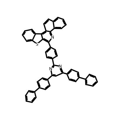 c1ccc(-c2ccc(-c3cc(-c4ccc(-c5ccccc5)cc4)nc(-c4ccc(-c5nc6c7ccccc7ccc6c6c5sc5ccccc56)cc4)n3)cc2)cc1